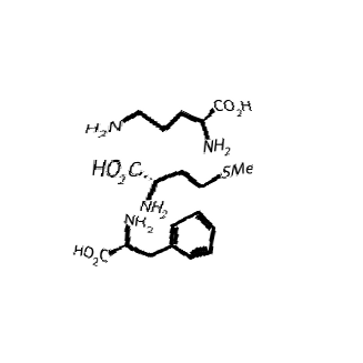 CSCC[C@H](N)C(=O)O.NCCC[C@H](N)C(=O)O.N[C@@H](Cc1ccccc1)C(=O)O